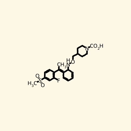 CC(=C1C=CC=CC1NOCC1CCN(C(=O)O)CC1)c1ccc(S(C)(=O)=O)cc1F